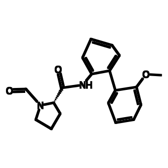 COc1ccccc1-c1ccccc1NC(=O)[C@@H]1CCCN1C=O